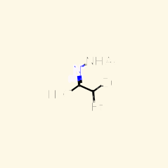 CCC(CC)/C(C)=N\NC(C)=O